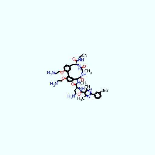 Cc1nc(-c2cccc(C(C)(C)C)c2)nc(C)c1C(=O)N[C@@H](CCN)C(=O)N(C)[C@@H]1C(=O)N[C@@H](C)C(=O)N[C@H](C(=O)NCC#N)Cc2ccc(OCCN)c(c2)-c2cc1ccc2OCCN